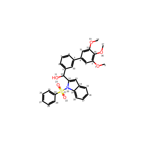 COc1cc(-c2cccc(C(O)c3cc4ccccc4n3S(=O)(=O)c3ccccc3)c2)cc(OC)c1OC